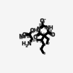 CCCC(C)C1(CC)C(=O)N=C([O-])NC1=O.NCC(=O)O.[Na+]